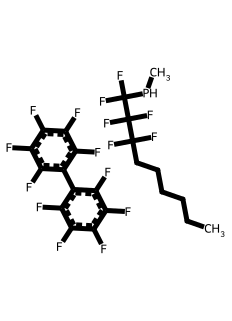 CCCCCCC(F)(F)C(F)(F)C(F)(F)PC.Fc1c(F)c(F)c(-c2c(F)c(F)c(F)c(F)c2F)c(F)c1F